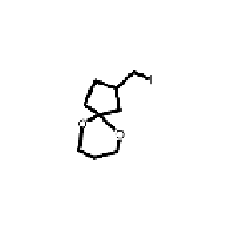 ICC1CCC2(C1)OCCCO2